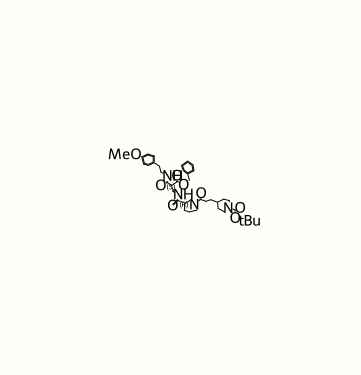 COc1ccc(CCNC(=O)[C@H](CNC(=O)[C@@H]2CCCN(C(=O)CCC3CCN(C(=O)OC(C)(C)C)CC3)C2)C(=O)OCc2ccccc2)cc1